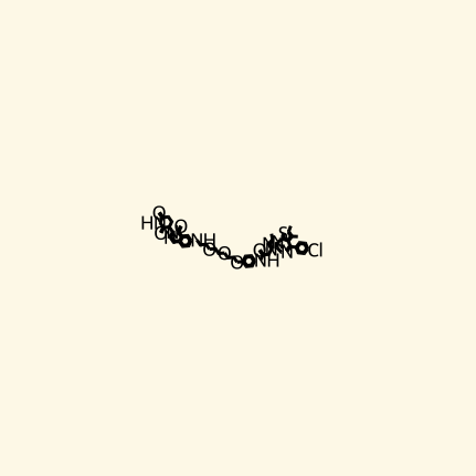 Cc1sc2c(c1C)C(c1ccc(Cl)cc1)=NCc1n-2c(C)n[n+]1CC(=O)Nc1ccc(OCCOCCOCCNc2ccc3cnn(C4CCC(=O)NC4=O)c(=O)c3c2)cc1